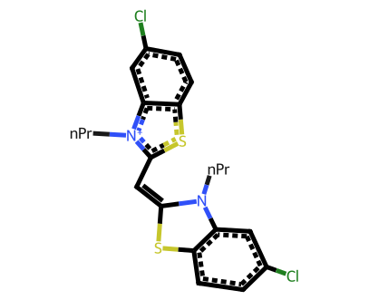 CCCN1C(=Cc2sc3ccc(Cl)cc3[n+]2CCC)Sc2ccc(Cl)cc21